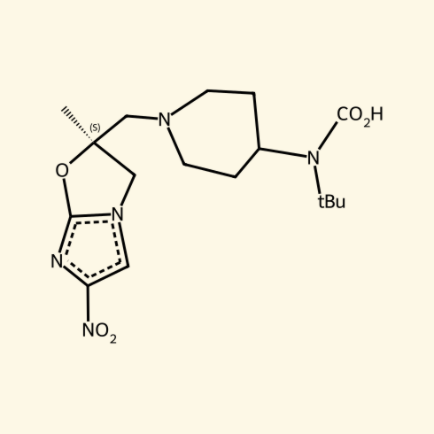 CC(C)(C)N(C(=O)O)C1CCN(C[C@@]2(C)Cn3cc([N+](=O)[O-])nc3O2)CC1